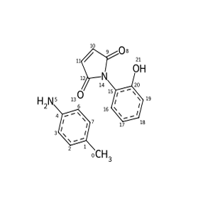 Cc1ccc(N)cc1.O=C1C=CC(=O)N1c1ccccc1O